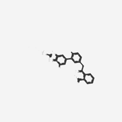 CCOC(=O)Nc1nc2cc(-c3cc(Cc4n[nH]c(=O)c5ccccc45)ccc3F)cc(Cl)c2[nH]1